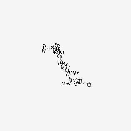 COc1cc2c(cc1OCCCOc1cc3c(cc1OC)C(=O)N1C=C(c4ccc(NC(=O)C(C)NC(=O)[C@@H](NC(=O)CCCCCN5C(=O)C=CC5=O)C(C)C)cc4)C[C@H]1C=N3)N=C[C@@H]1CC(/C=C/c3ccccc3)=CN1C2=O